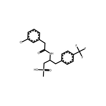 CP(=O)(O)CC(Cc1ccc(C(F)(F)F)cc1)NC(=O)Cc1cccc(Cl)c1